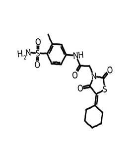 Cc1cc(NC(=O)CN2C(=O)SC(=C3CCCCC3)C2=O)ccc1S(N)(=O)=O